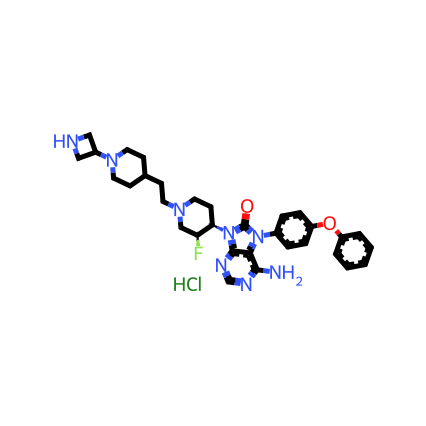 Cl.Nc1ncnc2c1n(-c1ccc(Oc3ccccc3)cc1)c(=O)n2[C@@H]1CCN(CCC2CCN(C3CNC3)CC2)C[C@@H]1F